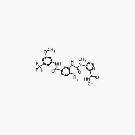 CNC(=O)c1cc(N(C)C(=O)Nc2cc(C(=O)Nc3cc(OC)cc(C(F)(F)F)c3)ccc2C)ccn1